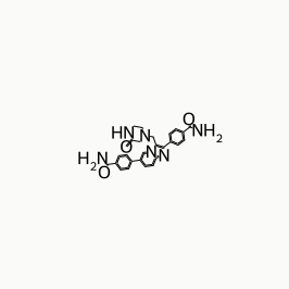 NC(=O)c1ccc(-c2ccc3nc(-c4ccc(C(N)=O)cc4)c(CN4CCNC(=O)C4)n3c2)cc1